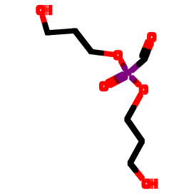 O=CP(=O)(OCCCO)OCCCO